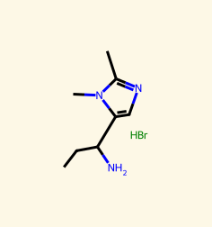 Br.CCC(N)c1cnc(C)n1C